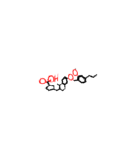 CCCc1ccc(COc2ccc3c(c2)CCC(CC2=CCC(C(=O)O)C2)=C3C)c(OC)c1